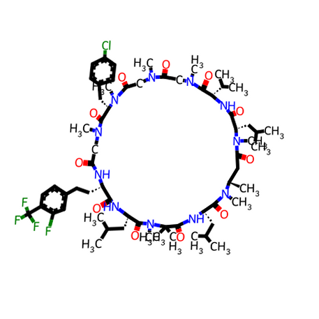 CC(C)C[C@@H]1NC(=O)C(C)(C)N(C)C(=O)[C@H](CC(C)C)NC(=O)[C@H](CCc2ccc(C(F)(F)F)c(F)c2)NC(=O)CN(C)C(=O)[C@H](Cc2ccc(Cl)cc2)N(C)C(=O)CN(C)C(=O)CN(C)C(=O)[C@H](C(C)C)NC(=O)[C@H](CC(C)C)N(C)C(=O)C[C@@H](C)N(C)C1=O